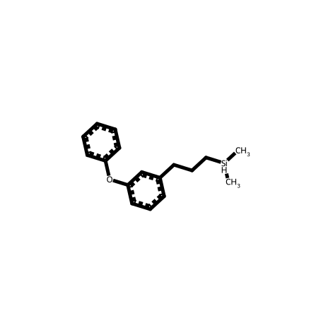 C[SiH](C)CCCc1cccc(Oc2ccccc2)c1